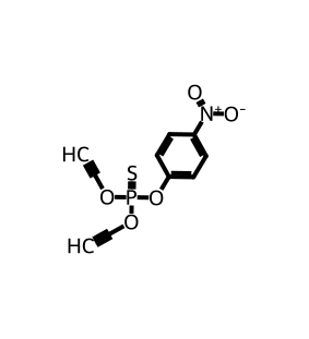 C#COP(=S)(OC#C)Oc1ccc([N+](=O)[O-])cc1